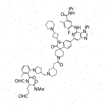 CNC(=O)C(CCC=O)N(C=O)C(=O)c1c(C)cccc1N1CCC(CN2CCCC(CC(=O)N3CCC4(CC3)C(=O)N(C3CC(N5CCCCC5)C3)c3cc(-c5cc6ncn(C(C)C)c6c(Nc6cc(C(=O)NC(C)C)c(C)cc6F)n5)ccc34)C2)C1